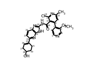 COc1cnccc1-c1cc(C)nc(Cl)c1C(=O)Nc1nc2ccc(C3=CCC(O)CC3)nc2[nH]1